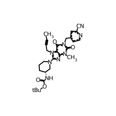 CC#CCn1c(N2CCC[C@@H](NC(=O)OC(C)(C)C)C2)nc2c1c(=O)n(Cc1ccnc(C#N)c1)c(=O)n2C